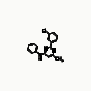 Cc1cc(Nc2ccccc2)nc(-c2cccc(Cl)c2)n1